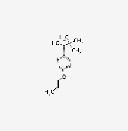 C=CCOc1ccc(C(O)C(C)(C)C)cc1